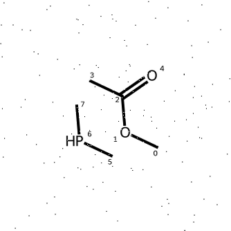 COC(C)=O.CPC